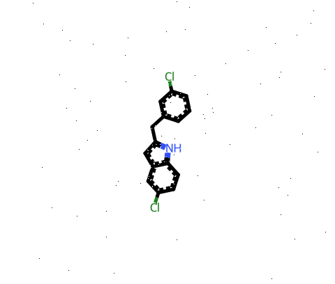 Clc1cccc(Cc2cc3cc(Cl)ccc3[nH]2)c1